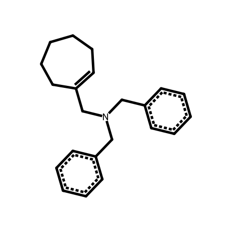 C1=C(CN(Cc2ccccc2)Cc2ccccc2)CCCCC1